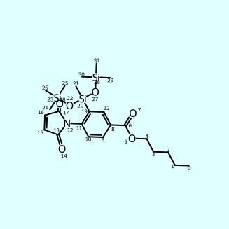 CCCCCOC(=O)c1ccc(N2C(=O)C=CC2=O)c([Si](C)(O[Si](C)(C)C)O[Si](C)(C)C)c1